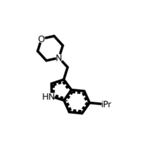 CC(C)c1ccc2[nH]cc(CN3CCOCC3)c2c1